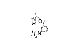 CNC(C)COC(C)c1cccc(N)c1